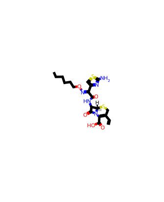 C=CC1=C(C(=O)O)N2C(=O)C(NC(=O)C(=NOCCCCCC)c3csc(N)n3)[C@@H]2SC1